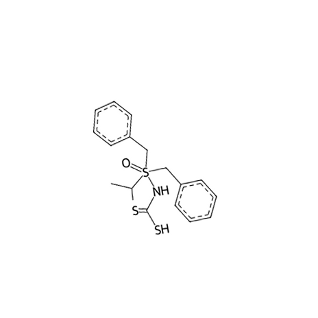 CC(C)S(=O)(Cc1ccccc1)(Cc1ccccc1)NC(=S)S